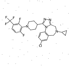 Fc1ccc(C(F)(F)F)c(F)c1N1CCC(c2nnc3n2-c2ccc(Cl)cc2CN(C2CC2)C3)CC1